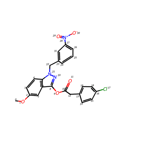 COc1ccc2c(c1)c(OC(=O)Cc1ccc(Cl)cc1)nn2Cc1cccc([N+](=O)[O-])c1